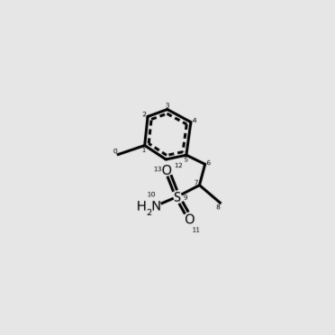 Cc1cccc(CC(C)S(N)(=O)=O)c1